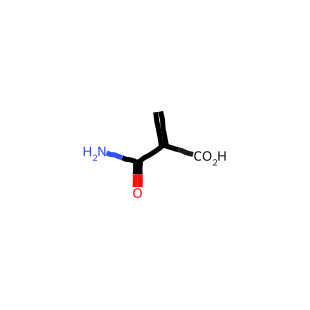 C=C(C(N)=O)C(=O)O